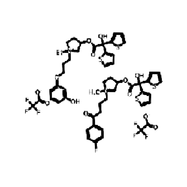 CC[N+]1(CCCOc2cccc(O)c2)CCC(OC(=O)C(O)(c2cccs2)c2cccs2)C1.C[N+]1(CCCC(=O)c2ccc(F)cc2)CCC(OC(=O)C(O)(c2cccs2)c2cccs2)C1.O=C([O-])C(F)(F)F.O=C([O-])C(F)(F)F